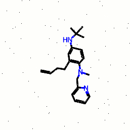 C=CCCc1cc(NC(C)(C)C)ccc1N(C)Cc1ccccn1